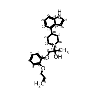 C=CCOc1ccccc1OCC(C)(O)N1CCC(c2cccc3[nH]ccc23)CC1